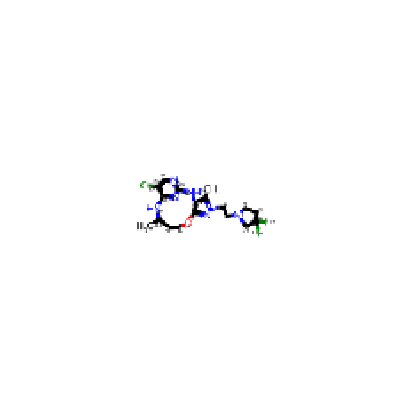 Cc1c2c(nn1CCN1CCC(F)(F)C1)OCCC(C)Nc1nc(ncc1Cl)N2